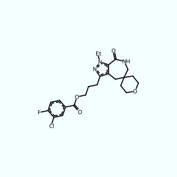 CCn1nc(CCCOC(=O)c2ccc(F)c(Cl)c2)c2c1C(=O)NCC1(CCOCC1)C2